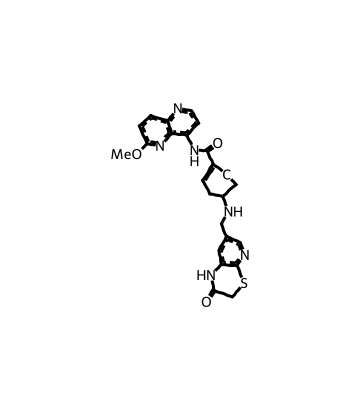 COc1ccc2nccc(NC(=O)C3=CCC(NCc4cnc5c(c4)NC(=O)CS5)CC3)c2n1